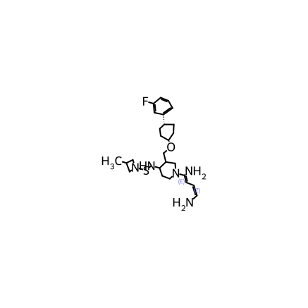 CC1CN(SNC2CCN(/C(N)=C/C=C\N)CC2CO[C@H]2CC[C@@H](c3cccc(F)c3)CC2)C1